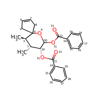 C[C@@H]1[C@@H](C)C2(CC=CC2)OC(OC(=O)c2ccccc2)[C@@H]1OC(=O)c1ccccc1